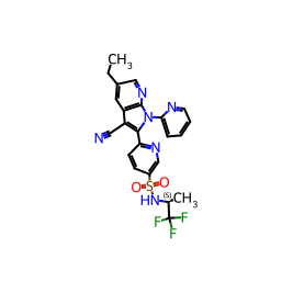 CCc1cnc2c(c1)c(C#N)c(-c1ccc(S(=O)(=O)N[C@@H](C)C(F)(F)F)cn1)n2-c1ccccn1